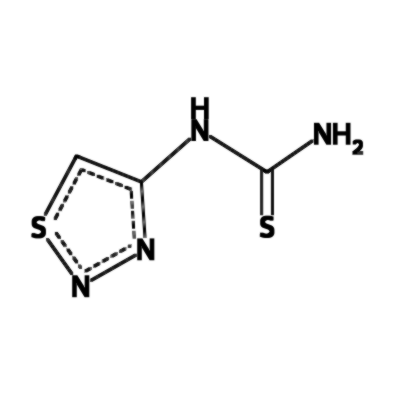 NC(=S)Nc1csnn1